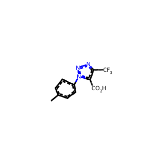 Cc1ccc(-n2nnc(C(F)(F)F)c2C(=O)O)cc1